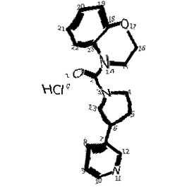 Cl.O=C(N1CCC(c2cccnc2)C1)N1CCOc2ccccc21